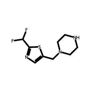 FC(F)c1ncc(CN2CCNCC2)s1